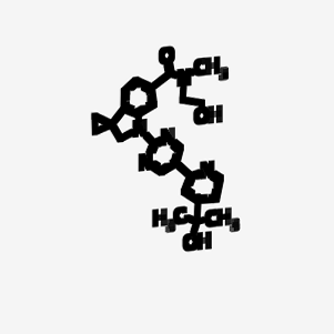 CN(CCO)C(=O)c1ccc2c(c1)N(c1ncc(-c3cc(C(C)(C)O)ccn3)cn1)CC21CC1